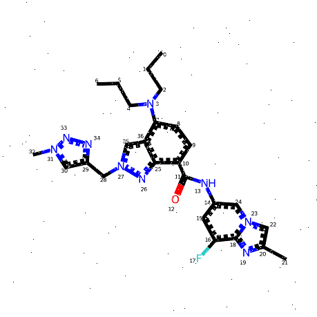 CCCN(CCC)c1ccc(C(=O)Nc2cc(F)c3nc(C)cn3c2)c2nn(Cc3cn(C)nn3)cc12